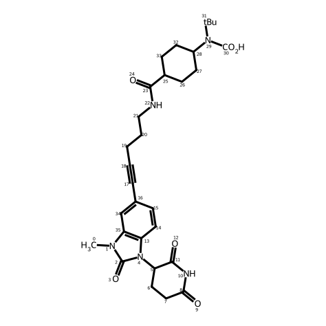 Cn1c(=O)n(C2CCC(=O)NC2=O)c2ccc(C#CCCCNC(=O)C3CCC(N(C(=O)O)C(C)(C)C)CC3)cc21